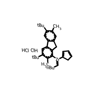 CCCC/[CH]=[Zr](/[C]1=CC=CC1)[c]1c(C)c(C(C)(C)C)cc2c1Cc1cc(C)c(C(C)(C)C)cc1-2.Cl.Cl